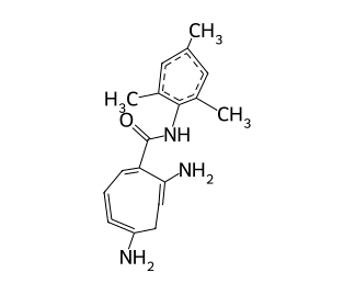 Cc1cc(C)c(NC(=O)C2=C/C=C=C(N)C\C=C\2N)c(C)c1